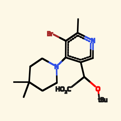 Cc1ncc(C(OC(C)(C)C)C(=O)O)c(N2CCC(C)(C)CC2)c1Br